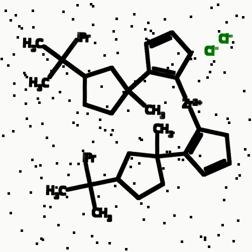 CC(C)C(C)(C)C1CCC(C)(C2=[C]([Zr+2][C]3=C(C4(C)CCC(C(C)(C)C(C)C)C4)C=CC3)CC=C2)C1.[Cl-].[Cl-]